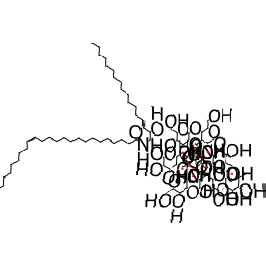 CCCCCCCC/C=C\CCCCCCCCCCCCCC(=O)N[C@@H](CO[C@@H]1OC(CO)[C@@H](O[C@@H]2OC(CO)[C@H](O)[C@H](O[C@@H]3OC(CO)[C@@H](O[C@H]4OC(C)[C@@H](O)C(O)[C@@H]4O)[C@H](O[C@@H]4OC(CO)[C@H](O)[C@H](O[C@@H]5OC(CO)[C@@H](O[C@@H]6OC(CO)[C@H](O)[C@H](O)C6O[C@H]6OC(C)[C@@H](O)C(O)[C@@H]6O)[C@H](O)C5NC(C)=O)C4O)C3NC(C)=O)C2O)[C@H](O)C1O)[C@H](O)/C=C/CCCCCCCCCCCCC